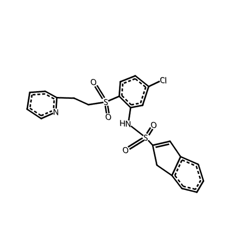 O=S(=O)(Nc1cc(Cl)ccc1S(=O)(=O)CCc1ccccn1)C1=Cc2ccccc2C1